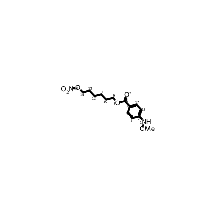 CONc1ccc(C(=O)OCCCCCCO[N+](=O)[O-])cc1